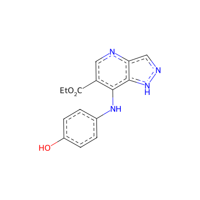 CCOC(=O)c1cnc2cn[nH]c2c1Nc1ccc(O)cc1